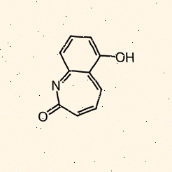 O=c1cccc2c(O)cccc2n1